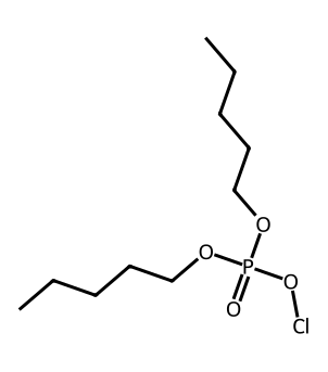 CCCCCOP(=O)(OCl)OCCCCC